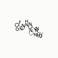 COc1cccc(F)c1-c1nccc(Nc2cc(N3CCC[C@H](N)C3)c(-c3cnn(C4CC(C)(C)OC(C)(C)C4)c3)cn2)n1